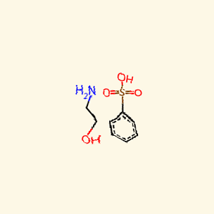 NCCO.O=S(=O)(O)c1ccccc1